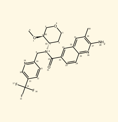 CO[C@H]1COCC[C@@H]1N(Cc1ccc(C(F)(F)F)cn1)C(=O)c1ccc2nc(N)c(C)cc2c1